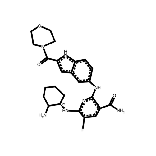 NC(=O)c1cc(F)c(N[C@@H]2CCCCC2N)nc1Nc1ccc2[nH]c(C(=O)N3CCOCC3)cc2c1